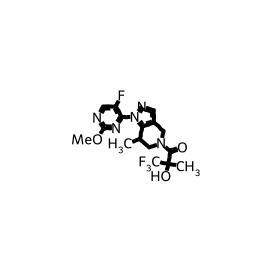 COc1ncc(F)c(-n2ncc3c2C(C)CN(C(=O)C(C)(O)C(F)(F)F)C3)n1